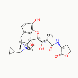 C/C(C(=O)N[C@H]1CCOC1=O)=C(/O)[C@@H]1Oc2c(O)ccc3c2[C@@]12CCN(CC1CC1)[C@H](C3)[C@@]2(C)O